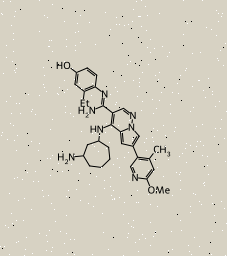 CCc1cc(O)ccc1/N=C(\N)c1cnn2cc(-c3cnc(OC)cc3C)cc2c1NC1CCCCC(N)C1